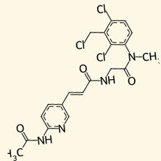 CC(=O)Nc1ccc(C=CC(=O)NCC(=O)N(C)c2ccc(Cl)c(CCl)c2Cl)cn1